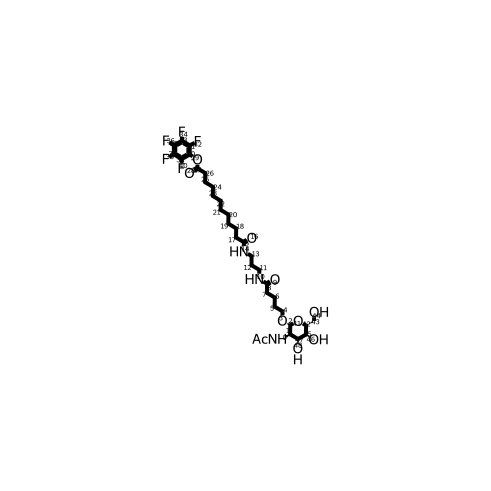 CC(=O)N[C@H]1[C@H](OCCCCC(=O)NCCCNC(=O)CCCCCCCCCCC(=O)Oc2c(F)c(F)c(F)c(F)c2F)O[C@H](CO)[C@H](O)[C@@H]1O